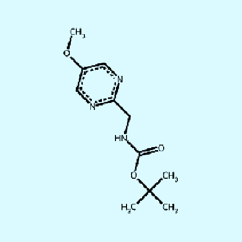 COc1cnc(CNC(=O)OC(C)(C)C)nc1